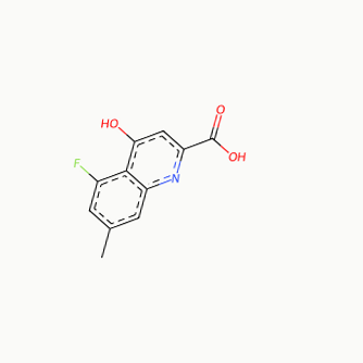 Cc1cc(F)c2c(O)cc(C(=O)O)nc2c1